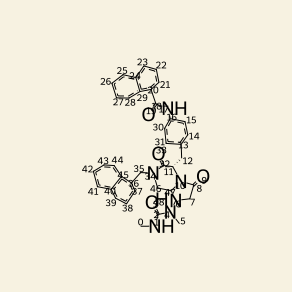 CNC(=O)N(C)N1CC(=O)N2[C@@H](Cc3ccc(NC(=O)c4cccc5ccccc45)cc3)C(=O)N(Cc3cccc4ccccc34)C[C@@H]21